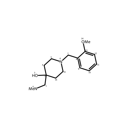 CNCC1(O)CCN(Cc2ccccc2OC)CC1